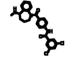 CNC1CCCN(C(=O)c2ccc(NC(=O)c3cc(Cl)cc(Cl)c3)cc2)c2ccccc21